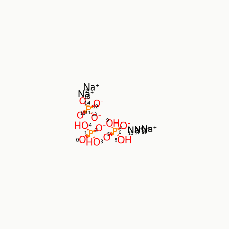 O=P([O-])(O)O.O=P([O-])(O)O.O=P([O-])([O-])[O-].[Na+].[Na+].[Na+].[Na+].[Na+]